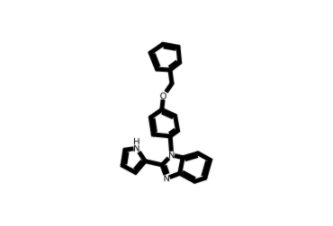 c1ccc(COc2ccc(-n3c(-c4ccc[nH]4)nc4ccccc43)cc2)cc1